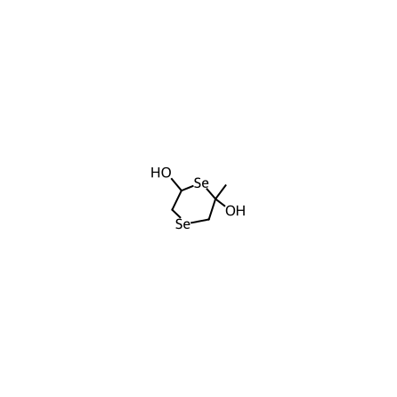 CC1(O)C[Se]CC(O)[Se]1